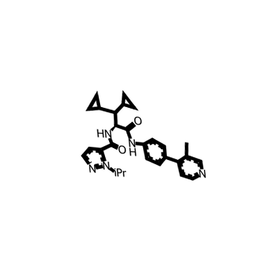 Cc1cnccc1-c1ccc(NC(=O)[C@@H](NC(=O)c2ccnn2C(C)C)C(C2CC2)C2CC2)cc1